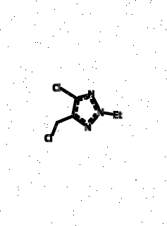 CCn1nc(Cl)c(CCl)n1